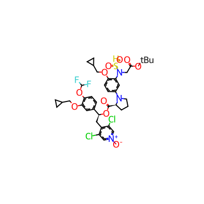 CC(C)(C)OC(=O)CN(c1cc(N2CCC[C@H]2C(=O)O[C@@H](Cc2c(Cl)c[n+]([O-])cc2Cl)c2ccc(OC(F)F)c(OCC3CC3)c2)ccc1OCC1CC1)[SH](=O)=O